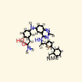 CNCc1ccccc1-c1ccc([C@@H](C)Nc2nc(C)nc3ccc(N(C)c4ccc(O)c(CC(=O)N(C)C)c4)cc23)s1